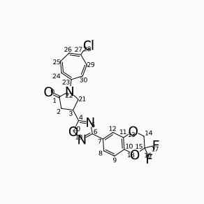 O=C1CC(c2nc(-c3ccc4c(c3)OCC(F)(F)O4)no2)CN1C1=C=CC=C(Cl)C=C1